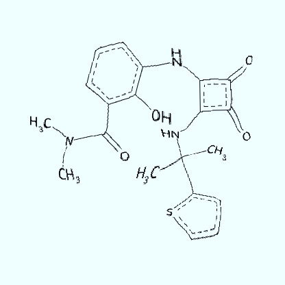 CN(C)C(=O)c1cccc(Nc2c(NC(C)(C)c3cccs3)c(=O)c2=O)c1O